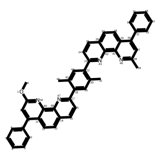 COc1cc(-c2ccccc2)c2ccc3ccc(-c4cc(C)c(-c5ccc6ccc7c(-c8ccccc8)cc(C)nc7c6n5)cc4C)nc3c2n1